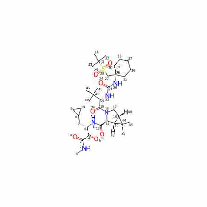 CNC(=O)C(=O)[C@H](CC1CC1)NC(=O)[C@@H]1[C@@H]2[C@H](CN1C(=O)[C@@H](NC(=O)NC1(CS(=O)(=O)C(C)(C)C)CCCCC1)C(C)(C)C)C2(C)C